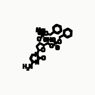 Nc1ccn([C@H]2C[C@H](OP(=O)(O)OCc3ccccc3)[C@@H](COP(=O)(O)OCc3ccccc3)O2)c(=O)n1.[Mg]